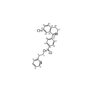 O=C(OCCc1ccccn1)c1ccc(C2=NCCc3ccc(Cl)cc32)cc1